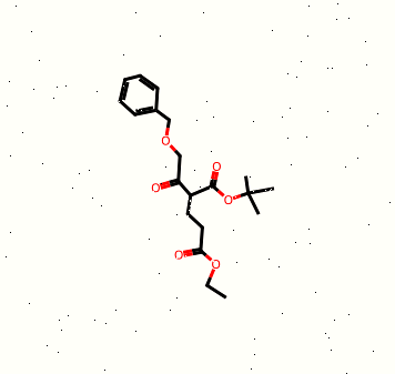 CCOC(=O)CCC(C(=O)COCc1ccccc1)C(=O)OC(C)(C)C